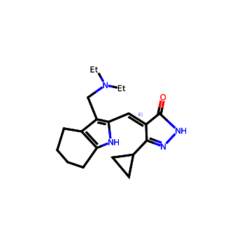 CCN(CC)Cc1c(/C=C2/C(=O)NN=C2C2CC2)[nH]c2c1CCCC2